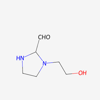 O=CC1NCCN1CCO